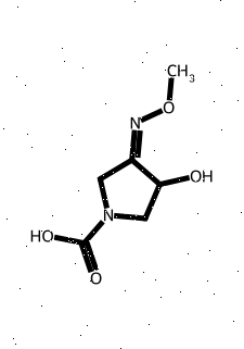 CON=C1CN(C(=O)O)CC1O